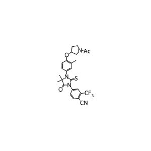 CC(=O)N1CCC(Oc2ccc(N3C(=S)N(c4ccc(C#N)c(C(F)(F)F)c4)C(=O)C3(C)C)cc2C)C1